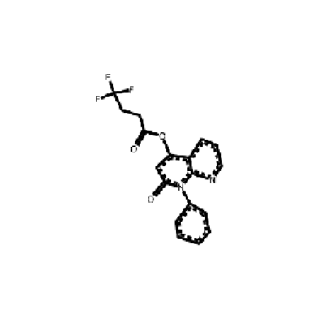 O=C(CCC(F)(F)F)Oc1cc(=O)n(-c2ccccc2)c2ncccc12